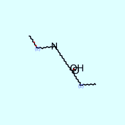 CCCCCCCC/C=C\CCCCCCCCC(CCCCCCCCCCCCCCCCN(C)CCCCCCCC/C=C\CCCCCCCC)C(=O)O